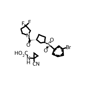 N#CC1(NC(=O)O)CC1.O=C([C@@H]1CC[C@@H](S(=O)(=O)c2cccc(Br)c2)C1)N1CCC(F)(F)C1